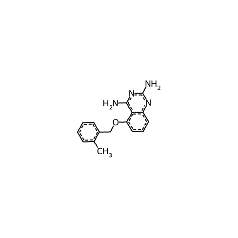 Cc1ccccc1COc1cccc2nc(N)nc(N)c12